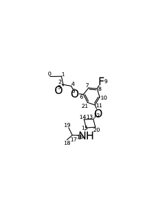 CCC(=O)COc1cc(F)cc(O[C@H]2C[C@@H](NC(C)C)C2)c1